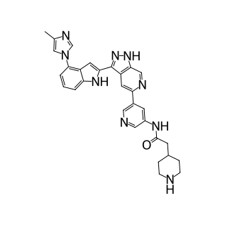 Cc1cn(-c2cccc3[nH]c(-c4n[nH]c5cnc(-c6cncc(NC(=O)CC7CCNCC7)c6)cc45)cc23)cn1